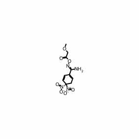 COCC(=O)ON=C(N)C1=CCC([N+](=O)[O-])([N+](=O)[O-])C=C1